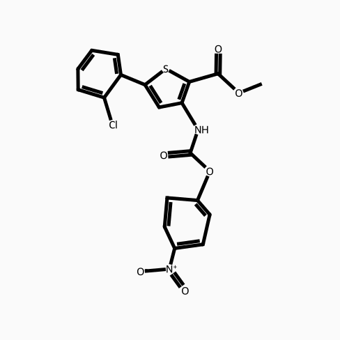 COC(=O)c1sc(-c2ccccc2Cl)cc1NC(=O)Oc1ccc([N+](=O)[O-])cc1